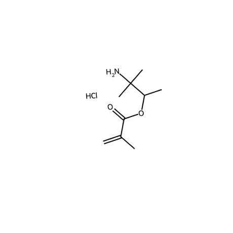 C=C(C)C(=O)OC(C)C(C)(C)N.Cl